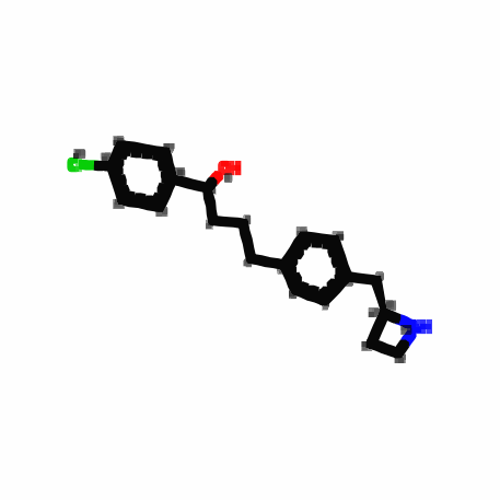 OC(CCCc1ccc(C[C@@H]2CCN2)cc1)c1ccc(Cl)cc1